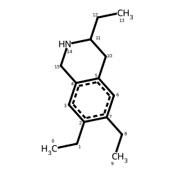 CCc1cc2c(cc1CC)CC(CC)NC2